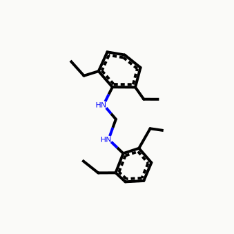 CCc1cccc(CC)c1NCNc1c(CC)cccc1CC